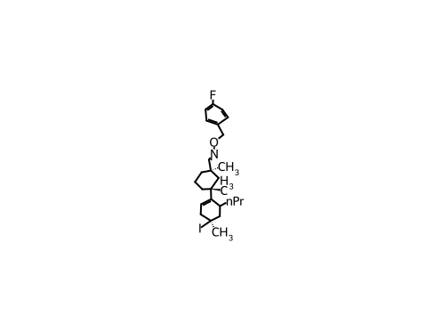 CCCC1C[C@@](C)(I)CC=C1[C@]1(C)CCC[C@@](C)(/C=N/OCc2ccc(F)cc2)C1